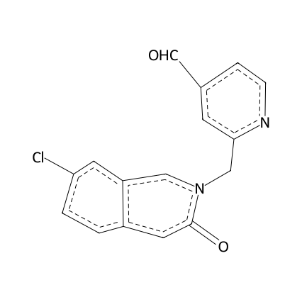 O=Cc1ccnc(Cn2cc3cc(Cl)ccc3cc2=O)c1